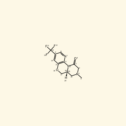 CN1CC(=O)N2c3ncc(C(F)(F)F)cc3OC[C@H]2C1